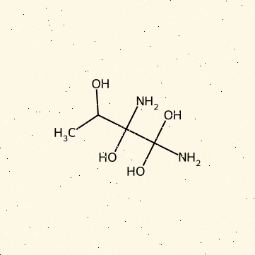 CC(O)C(N)(O)C(N)(O)O